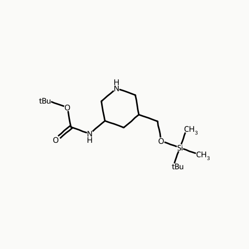 CC(C)(C)OC(=O)NC1CNCC(CO[Si](C)(C)C(C)(C)C)C1